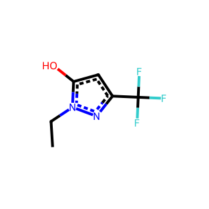 CCn1nc(C(F)(F)F)cc1O